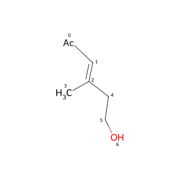 CC(=O)/C=C(\C)CCO